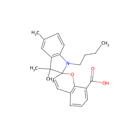 CCCCN1c2ccc(C)cc2C(C)(C)C12C=Cc1cccc(C(=O)O)c1O2